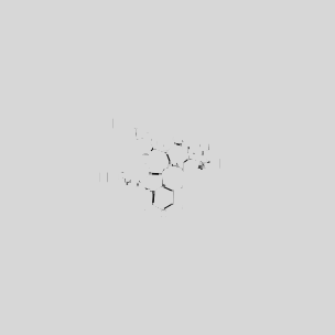 CCOC(=O)c1cnc(S(C)(=O)=O)nc1-c1cn(OC)c2ccccc12